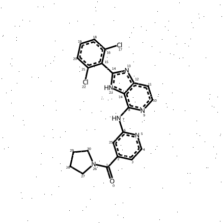 O=C(c1ccnc(Nc2nccc3nc(-c4c(Cl)cccc4Cl)[nH]c23)c1)N1CCCC1